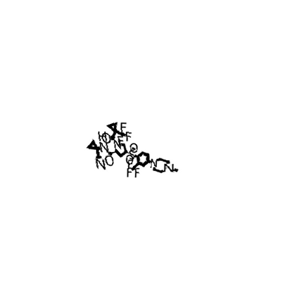 CN1CCN(c2ccc(S(=O)(=O)[C@@H]3C[C@@H](C(=O)NC4(C#N)CC4)N(C(=O)C4(C(F)(F)F)CC4)C3)c(C(F)(F)F)c2)CC1